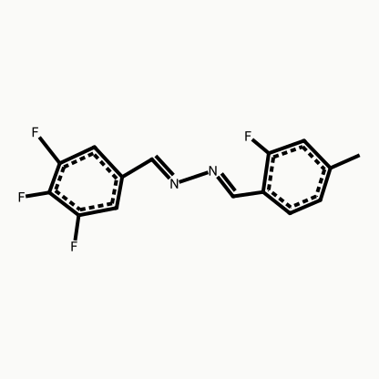 Cc1ccc(C=NN=Cc2cc(F)c(F)c(F)c2)c(F)c1